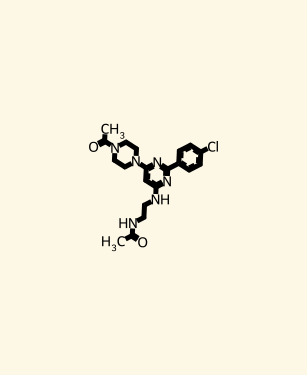 CC(=O)NCCNc1cc(N2CCN(C(C)=O)CC2)nc(-c2ccc(Cl)cc2)n1